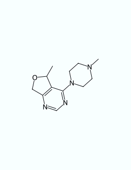 CC1OCc2ncnc(N3CCN(C)CC3)c21